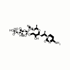 C[C@H](N=[N+]=[N-])O[C@H](C[C@@H](C)n1ccc(N)nc1=O)C(O)COP(=O)(O)OP(=O)(O)OP(=O)(O)O